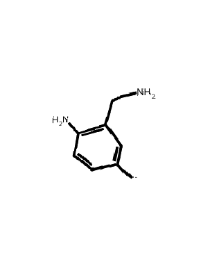 [CH2]c1ccc(N)c(CN)c1